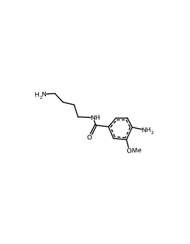 COc1cc(C(=O)NCCCCN)ccc1N